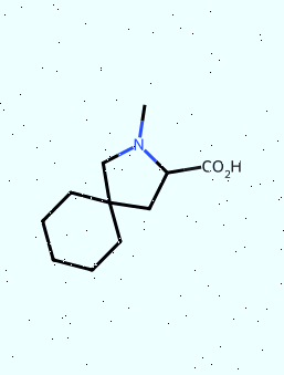 CN1CC2(CCCCC2)CC1C(=O)O